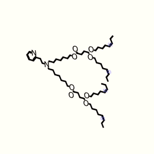 CC/C=C\CCCCOC(CCC(=O)OCCCCCCCN(CCCCCCCOC(=O)CCC(OCCCC/C=C\CC)OCCCC/C=C\CC)CCc1ccccn1)OCCCC/C=C\CC